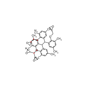 Cc1cc(C)c(OCC2CO2)c(C(c2cc(C)cc(C)c2OCC2CO2)C(c2cc(C)cc(C)c2OCC2CO2)c2cc(C)cc(C)c2OCC2CO2)c1